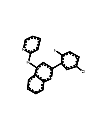 Fc1ccc(Cl)cc1-c1cc(Nc2ccccn2)c2ccccc2n1